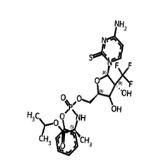 CC(C)OC(=O)[C@H](C)NP(=O)(OC[C@H]1O[C@@H](n2ccc(N)nc2=S)[C@@](O)(C(F)(F)F)C1O)Oc1ccccc1